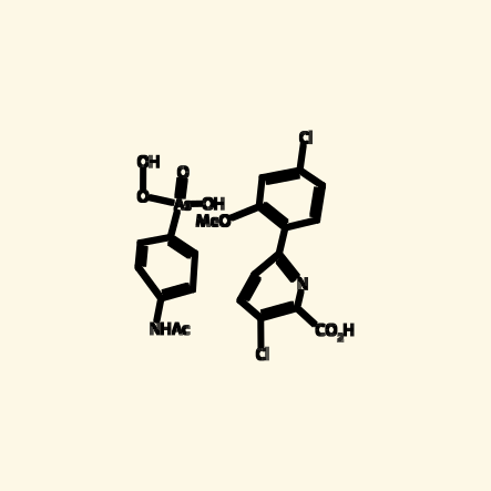 CC(=O)Nc1ccc([As](=O)(O)OO)cc1.COc1cc(Cl)ccc1-c1ccc(Cl)c(C(=O)O)n1